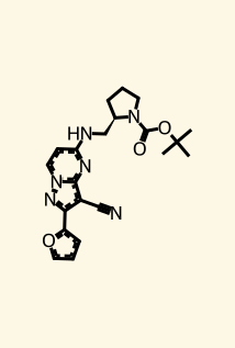 CC(C)(C)OC(=O)N1CCC[C@@H]1CNc1ccn2nc(-c3ccco3)c(C#N)c2n1